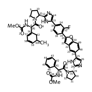 COC(=O)N[C@@H](C(=O)N1CCC[C@H]1c1ncc(-c2ccc(-c3cc4cc(-c5cnc([C@@H]6CCCN6C(=O)[C@H](NC(=O)OC)c6ccccc6)[nH]5)ccc4o3)c(F)c2)[nH]1)C1=CC=CC(C)C1